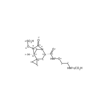 O=C(O)NCCONC(=O)[C@@H]1CC2(CC2)[C@@H]2CN1C(=O)N2OS(=O)(=O)O